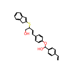 C=Cc1ccc(C(O)Oc2ccc(C=CC(CO)SC3=Cc4ccccc4C3)cc2)cc1